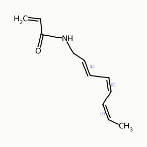 C=CC(=O)NC/C=C/C=C\C=C/C